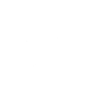 Cc1ccc(Pc2cccc(C)c2O)c(C(C)(C)O)c1